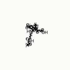 CC(C)(C)C(=O)CNC(=O)CCCCCNC(=O)c1cc([N+](=O)[O-])ccc1-n1nc(C(=O)CCC(=O)O)nc1C(C)(C)C